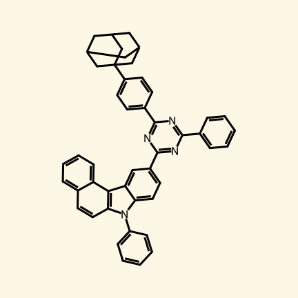 c1ccc(-c2nc(-c3ccc(C45CC6CC(CC(C6)C4)C5)cc3)nc(-c3ccc4c(c3)c3c5ccccc5ccc3n4-c3ccccc3)n2)cc1